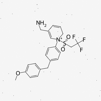 COc1ccc(Cc2ccc([N+]3(S(=O)(=O)CC(F)(F)F)C=C(CN)C=CC3)cc2)cc1